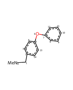 [CH2-][NH2+]Cc1ccc(Oc2ccccc2)cc1